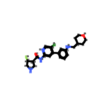 O=C(Nc1cc(-c2cccc(NCC3CCOCC3)c2)c(Cl)cn1)[C@H]1CNC[C@H]1F